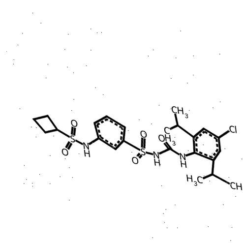 CC(C)c1cc(Cl)cc(C(C)C)c1NC(=O)NS(=O)(=O)c1cccc(NS(=O)(=O)C2CCC2)c1